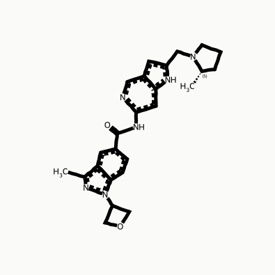 Cc1nn(C2COC2)c2ccc(C(=O)Nc3cc4[nH]c(CN5CCC[C@@H]5C)cc4cn3)cc12